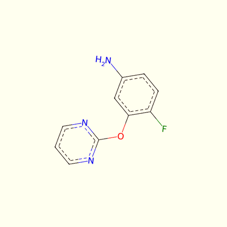 Nc1ccc(F)c(Oc2ncccn2)c1